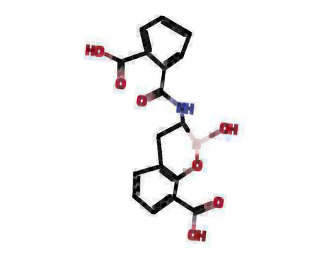 O=C(O)c1ccccc1C(=O)NC1Cc2cccc(C(=O)O)c2OB1O